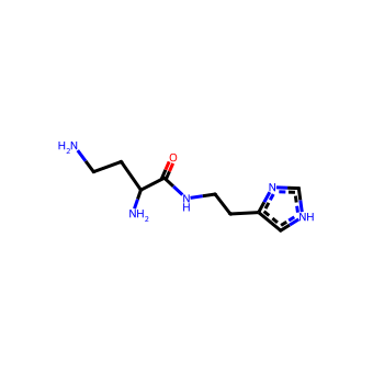 NCCC(N)C(=O)NCCc1c[nH]cn1